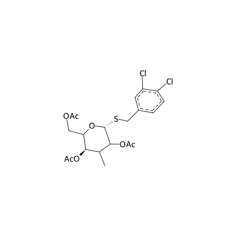 CC(=O)OCC1O[C@H](SCc2ccc(Cl)c(Cl)c2)C(OC(C)=O)C(C)[C@H]1OC(C)=O